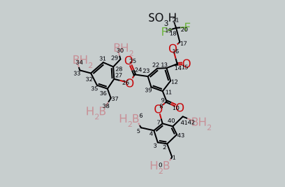 BCc1cc(CB)c(OC(=O)c2cc(C(=O)OCC(F)(F)S(=O)(=O)O)cc(C(=O)Oc3c(CB)cc(CB)cc3CB)c2)c(CB)c1